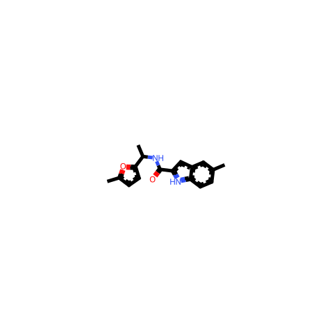 Cc1ccc2[nH]c(C(=O)NC(C)c3ccc(C)o3)cc2c1